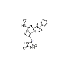 O=C1NC(=O)/C(=C/c2cnn3c(NC4CC4)nc(NC4(c5ccccc5)CC4)nc23)N1